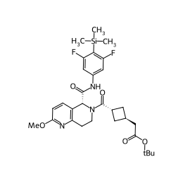 COc1ccc2c(n1)CCN(C(=O)[C@H]1C[C@H](CC(=O)OC(C)(C)C)C1)[C@H]2C(=O)Nc1cc(F)c([Si](C)(C)C)c(F)c1